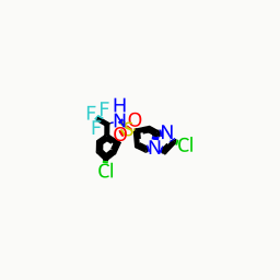 O=S(=O)(N[C@H](c1ccc(Cl)cc1)C(F)(F)F)c1ccn2cc(Cl)nc2c1